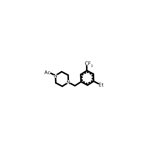 CCc1cc(CN2CCN(C(C)=O)CC2)cc(C(F)(F)F)c1